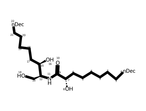 CCCCCCCCCCCCCCCC[C@H](O)C(=O)N[C@@H](CO)[C@H](O)CCCCCCCCCCCCCCC